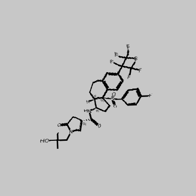 CC(C)(O)CN1C[C@@H](C(=O)N[C@@H]2CC[C@@]3(S(=O)(=O)c4ccc(F)cc4)c4ccc(C(F)(C(F)(F)F)C(F)(F)F)cc4CC[C@@H]23)CC1=O